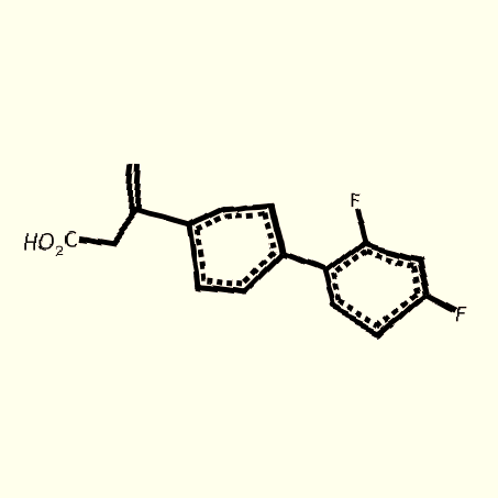 C=C(CC(=O)O)c1ccc(-c2ccc(F)cc2F)cc1